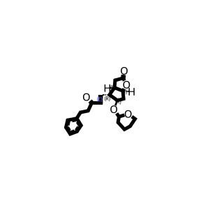 O=C(/C=C/[C@@H]1[C@H]2CC(=O)O[C@H]2C[C@H]1OC1CCCCO1)CCc1ccccc1